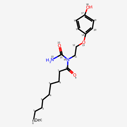 CCCCCCCCCCCCCCCCCC(=O)N(CCOc1ccc(O)cc1)C(N)=O